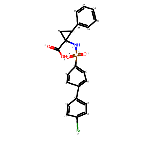 O=C(O)C1(NS(=O)(=O)c2ccc(-c3ccc(Br)cc3)cc2)CC1c1ccccc1